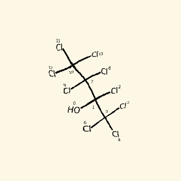 OC(Cl)(C(Cl)(Cl)Cl)C(Cl)(Cl)C(Cl)(Cl)Cl